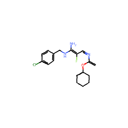 C=C(/N=C\C(F)=C(/N)NCc1ccc(Cl)cc1)OC1CCCCC1